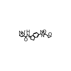 Cn1nccc1C(=O)N[C@@H]1CCc2cc(-c3noc(C4CCO4)n3)ccc21